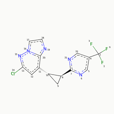 FC(F)(F)c1cnc([C@H]2C[C@@H]2c2cc(Cl)nn3ccnc23)nc1